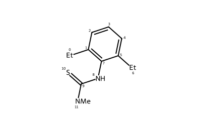 CCc1cccc(CC)c1NC(=S)NC